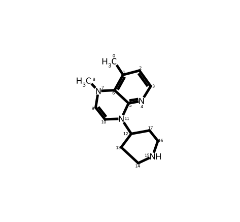 Cc1ccnc2c1N(C)C=CN2C1CCNCC1